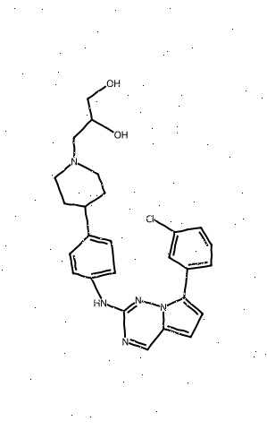 OCC(O)CN1CCC(c2ccc(Nc3ncc4ccc(-c5cccc(Cl)c5)n4n3)cc2)CC1